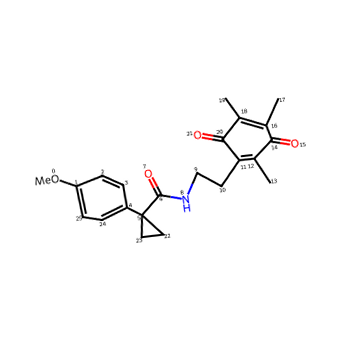 COc1ccc(C2(C(=O)NCCC3=C(C)C(=O)C(C)=C(C)C3=O)CC2)cc1